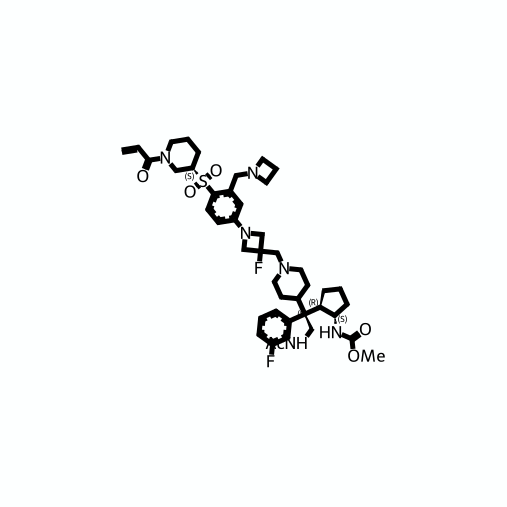 C=CC(=O)N1CCC[C@H](S(=O)(=O)c2ccc(N3CC(F)(CN4CCC([C@@](CNC(C)=O)(c5cccc(F)c5)[C@H]5CCC[C@@H]5NC(=O)OC)CC4)C3)cc2CN2CCC2)C1